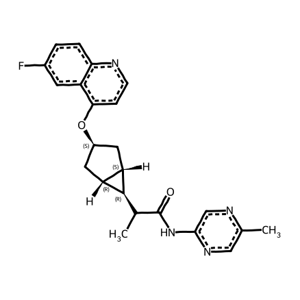 Cc1cnc(NC(=O)C(C)[C@H]2[C@@H]3C[C@@H](Oc4ccnc5ccc(F)cc45)C[C@@H]32)cn1